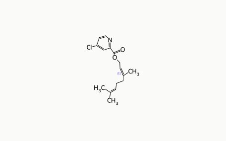 CC(C)=CCC/C(C)=C/COC(=O)c1cc(Cl)ccn1